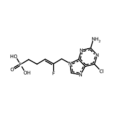 Nc1nc(Cl)c2ncn(CC(F)=CCCP(=O)(O)O)c2n1